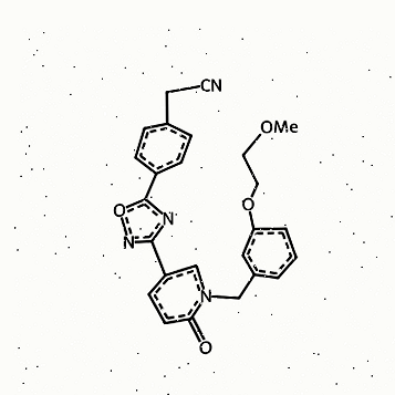 COCCOc1cccc(Cn2cc(-c3noc(-c4ccc(CC#N)cc4)n3)ccc2=O)c1